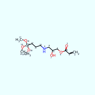 C=CC(=O)OCC(O)CNCCC[Si](OC)(OC)OC